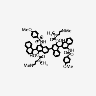 CNCCN(C)C(=O)Oc1cc(-c2ccc3c(OC(=O)N(C)CCNC)c(-c4c(O)ccc5ccccc45)cc(NS(=O)(=O)c4ccc(OC)cc4)c3c2)c2ccccc2c1-c1cc(NS(=O)(=O)c2ccc(OC)cc2)c2ccccc2c1O